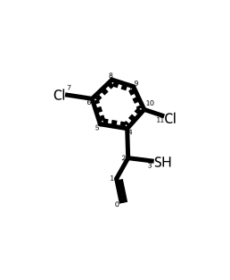 C=CC(S)c1cc(Cl)ccc1Cl